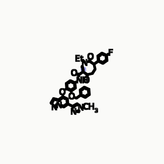 CCN1/C=C(/C(=O)Nc2ccc(Oc3cc(-c4cn(C)cn4)cn4nccc34)c(OCc3ccccc3)c2)C(=O)CCC(c2ccc(F)cc2)C1=O